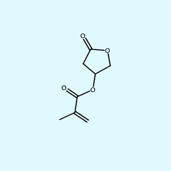 C=C(C)C(=O)OC1COC(=O)C1